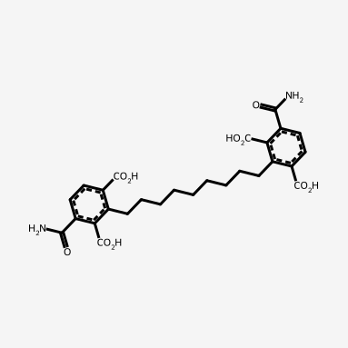 NC(=O)c1ccc(C(=O)O)c(CCCCCCCCCc2c(C(=O)O)ccc(C(N)=O)c2C(=O)O)c1C(=O)O